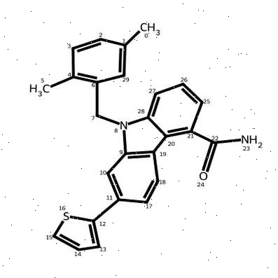 Cc1ccc(C)c(Cn2c3cc(-c4cccs4)c[c]c3c3c(C(N)=O)cccc32)c1